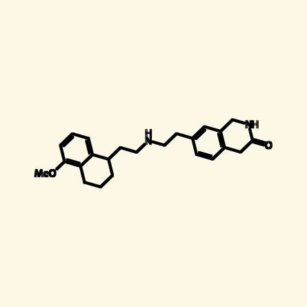 COc1cccc2c1CCCC2CCNCCc1ccc2c(c1)CNC(=O)C2